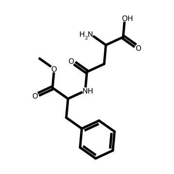 COC(=O)C(Cc1ccccc1)NC(=O)CC(N)C(=O)O